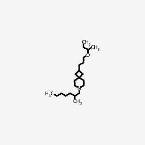 CCCCCC(C)CN1CCC2(CC1)CC(CCCOC(C)CC)C2